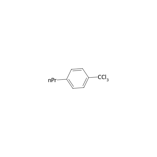 CCCc1ccc(C(Cl)(Cl)Cl)cc1